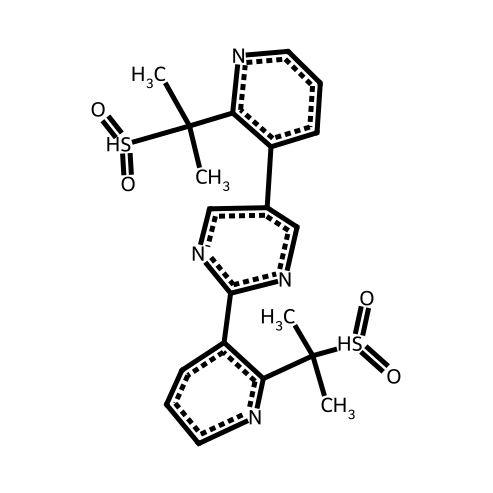 CC(C)(c1ncccc1-c1cnc(-c2cccnc2C(C)(C)[SH](=O)=O)nc1)[SH](=O)=O